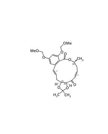 COCOc1cc2c(c(OCOC)c1)C(=O)O[C@@H](C)C/C=C\C(=O)[C@H]1OC(C)(C)O[C@H]1C/C=C/2